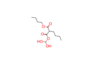 CCCCOC(=O)C(CCCC)C(=O)OC(O)O